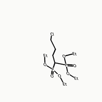 CCOP(=O)(OCC)C(CCCCl)P(=O)(OCC)OCC